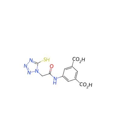 O=C(Cn1nnnc1S)Nc1cc(C(=O)O)cc(C(=O)O)c1